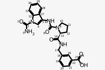 NC(=O)n1cc(NC(=O)N2CCC[C@H]2C(=O)NCc2cccc(C(=O)O)c2)c2ccccc21